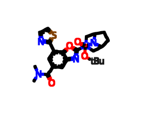 CN(C)C(=O)c1cc(-c2nccs2)c2oc(N3CC4CCC(C3)N4C(=O)OC(C)(C)C)nc2c1